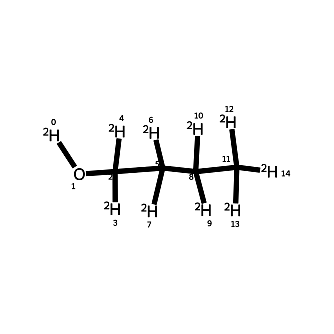 [2H]OC([2H])([2H])C([2H])([2H])C([2H])([2H])C([2H])([2H])[2H]